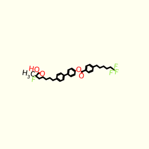 C[C@](F)(CCCCCc1ccc(-c2ccc(OC(=O)c3ccc(CCCCCC(F)(F)F)cc3)cc2)cc1)C(=O)O